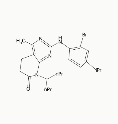 CCCC(CCC)N1C(=O)CCc2c(C)nc(Nc3ccc(C(C)C)cc3Br)nc21